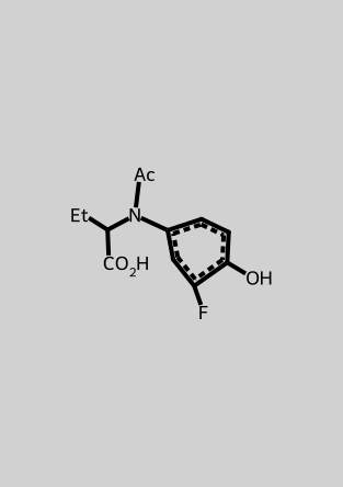 CCC(C(=O)O)N(C(C)=O)c1ccc(O)c(F)c1